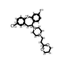 Fc1ccc2c(c1)Sc1ccc(Cl)cc1CC2N1CCN(CCC2OCCCO2)CC1